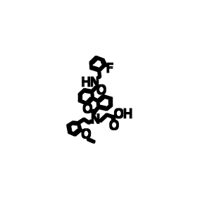 CCOc1ccccc1CCN(CCC(=O)O)C(=O)c1ccccc1-c1ccccc1C(=O)NCc1ccccc1F